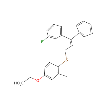 Cc1cc(OCC(=O)O)ccc1SCC=C(c1ccccc1)c1cccc(F)c1